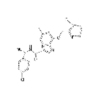 Cc1cc(OCc2ncccc2F)c2nc(C)c(C(=O)NC(C#N)c3ccc(Cl)cc3)n2c1